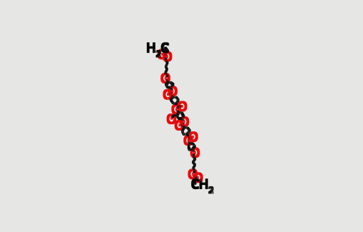 C=CC(=O)OCCCCCCOc1ccc(OC(=O)C2CCC(C(=O)Oc3ccc(OC(=O)[C@H]4CC[C@H](C(=O)Oc5ccc(OCCCCCCOC(=O)C=C)cc5)CC4)c(C=O)c3)CC2)cc1